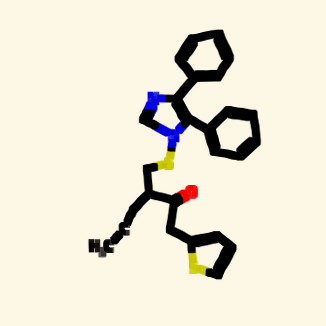 CCCC(CSn1cnc(-c2ccccc2)c1-c1ccccc1)C(=O)Cc1cccs1